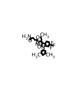 CCC/C(=C1/C(=O)N(c2cc(C)cc(C)c2)c2cc(C(F)(F)F)ccc21)N(N)C(=O)CCC(N)=O